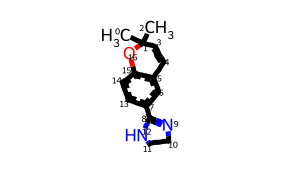 CC1(C)C=Cc2cc(C3=NCCN3)ccc2O1